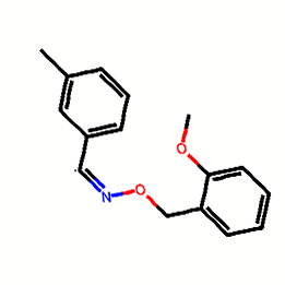 COc1ccccc1CO/N=[C]\c1cccc(C)c1